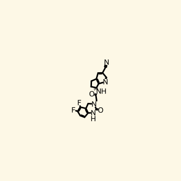 N#Cc1cnc2c(c1)CC[C@H]2NC(=O)CN1Cc2c(ccc(F)c2F)NC1=O